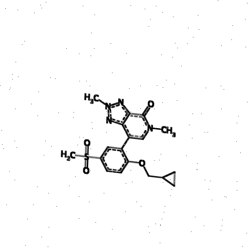 Cn1nc2c(-c3cc(S(C)(=O)=O)ccc3OCC3CC3)cn(C)c(=O)c2n1